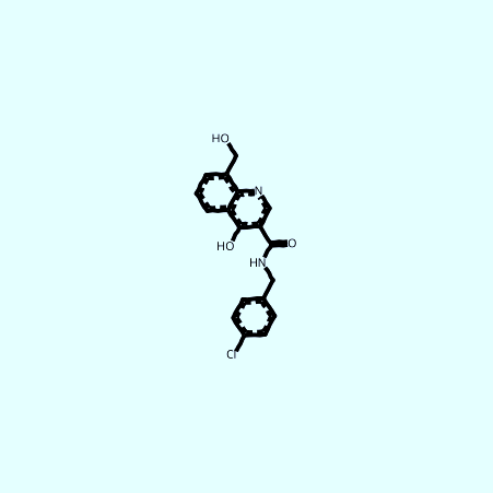 O=C(NCc1ccc(Cl)cc1)c1cnc2c(CO)cccc2c1O